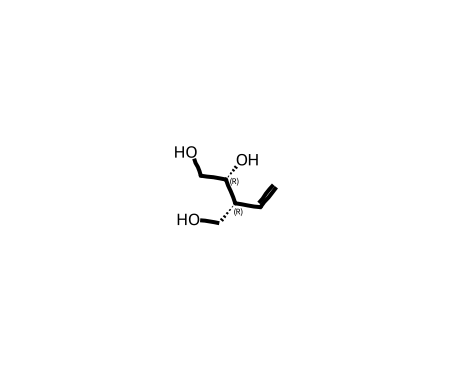 C=C[C@H](CO)[C@@H](O)CO